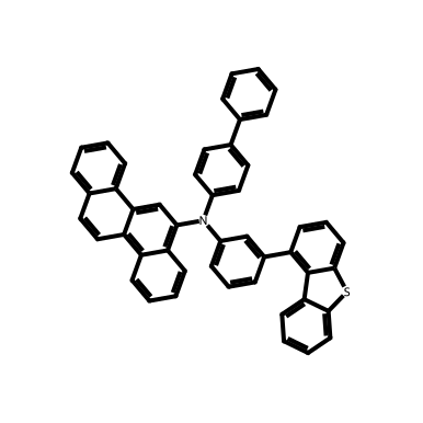 c1ccc(-c2ccc(N(c3cccc(-c4cccc5sc6ccccc6c45)c3)c3cc4c5ccccc5ccc4c4ccccc34)cc2)cc1